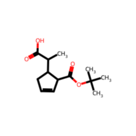 CC(C(=O)O)C1CC=CC1C(=O)OC(C)(C)C